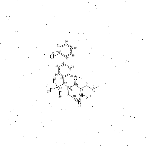 CC(C)C[C@H](N)C(=O)N(CC#N)[C@@H](c1ccc(-c2cnccc2Cl)cc1)C(F)(F)F